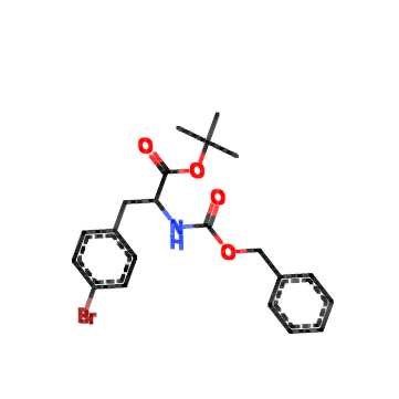 CC(C)(C)OC(=O)C(Cc1ccc(Br)cc1)NC(=O)OCc1ccccc1